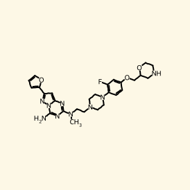 CN(CCN1CCN(c2ccc(OCC3CNCCO3)cc2F)CC1)c1nc(N)n2nc(-c3ccco3)cc2n1